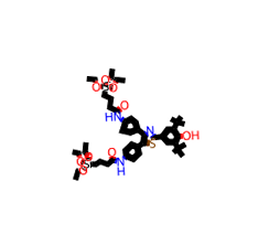 CCO[Si](CCCC(=O)Nc1ccc(-c2nc(-c3cc(C(C)(C)C)c(O)c(C(C)(C)C)c3)sc2-c2ccc(NC(=O)CCC[Si](OCC)(OCC)OCC)cc2)cc1)(OCC)OCC